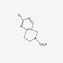 O=C(O)N1CCc2nc(Cl)ncc2C1